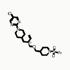 C=C[C@@H](COCC1CCN(S(=O)(=O)C(C)C)CC1)CC1CCN(c2ncc(Cl)cn2)CC1